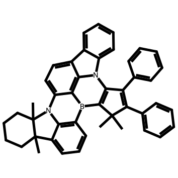 CC1(C)C2=C(C(c3ccccc3)=C1c1ccccc1)n1c3ccccc3c3ccc4c(c31)B2c1cccc2c1N4C1(C)CCCCC21C